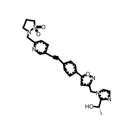 C[C@H](O)c1nccn1Cc1cc(-c2ccc(C#Cc3ccc(CN4CCCS4(=O)=O)nc3)cc2)on1